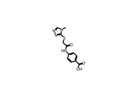 Cn1cnnc1SCC(=O)Nc1ccc(C(=O)O)cc1